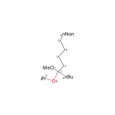 [CH2]CCCC(CCCCCCCCCCCCC)(OC)OC(C)C